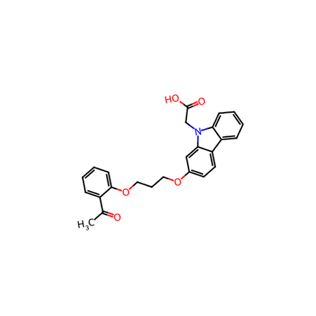 CC(=O)c1ccccc1OCCCOc1ccc2c3ccccc3n(CC(=O)O)c2c1